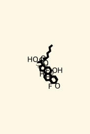 CCCCCC(=O)O[C@@]1(C(=O)CO)[C@@H](C)C[C@H]2[C@@H]3CCC4=C(F)C(=O)C=C[C@]4(C)[C@@]3(F)[C@@H](O)C[C@@]21C